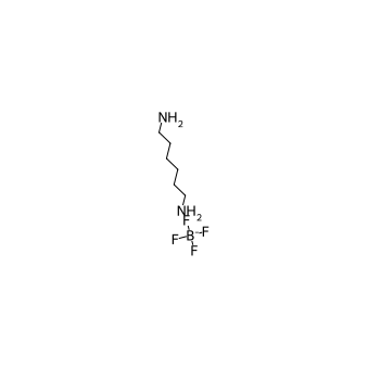 F[B-](F)(F)F.NCCCCCCN